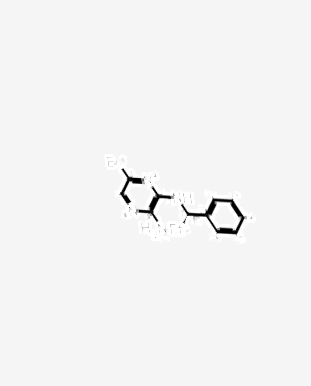 CC[C@@H](Nc1nc(Br)cnc1N)c1ccccc1